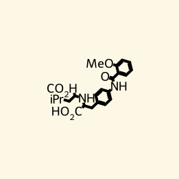 COc1ccccc1C(=O)Nc1ccc(CC(NC(CC(C)C)C(=O)O)C(=O)O)cc1